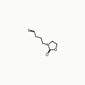 O=C1OCCN1CCCC=S